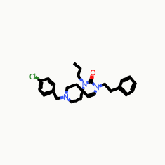 CCCN1C(=O)N(CCc2ccccc2)C=CC12CCN(Cc1ccc(Cl)cc1)CC2